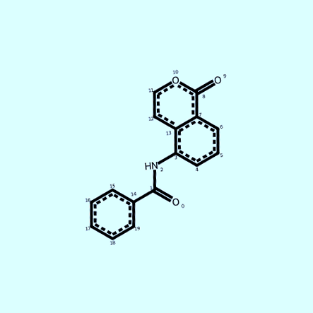 O=C(Nc1cccc2c(=O)occc12)c1ccccc1